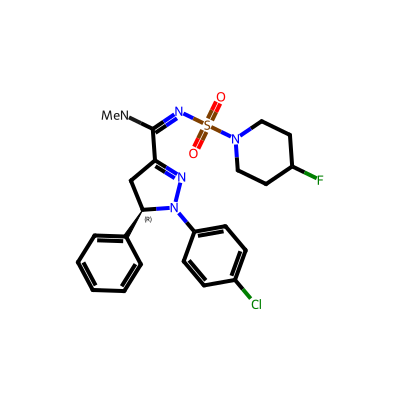 CNC(=NS(=O)(=O)N1CCC(F)CC1)C1=NN(c2ccc(Cl)cc2)[C@@H](c2ccccc2)C1